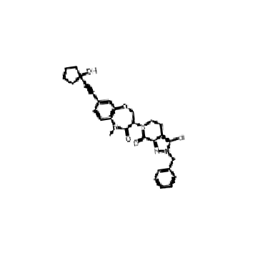 CN1C(=O)[C@H](N2CCc3c(nn(Cc4ccccc4)c3Cl)C2=O)COc2cc(C#CC3(O)CCCC3)ccc21